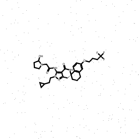 O=C(CN1CCCC1O)Nc1c2c(nn1CCC1CC1)C[C@]1(CCCc3cc(OCCCC(F)(F)F)ccc31)NC2=O